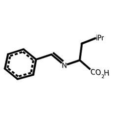 CC(C)CC(N=Cc1ccccc1)C(=O)O